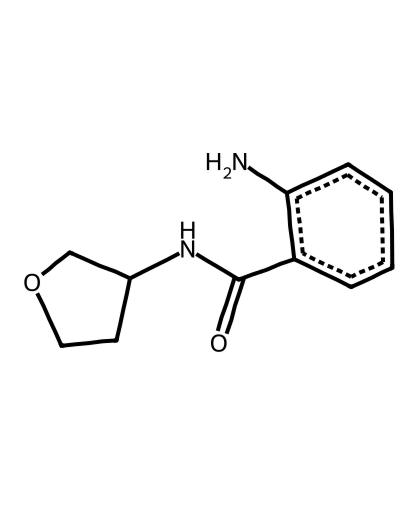 Nc1ccccc1C(=O)NC1CCOC1